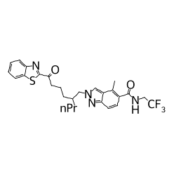 CCCC(CCCC(=O)c1nc2ccccc2s1)Cn1cc2c(C)c(C(=O)NCC(F)(F)F)ccc2n1